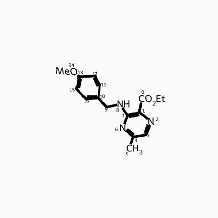 CCOC(=O)c1ncc(C)nc1NCc1ccc(OC)cc1